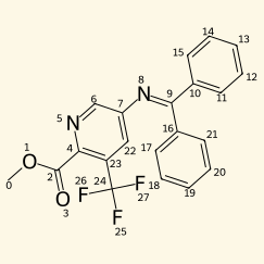 COC(=O)c1ncc(N=C(c2ccccc2)c2ccccc2)cc1C(F)(F)F